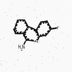 Nc1nc2cc(F)ccc2c2ccccc12